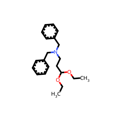 CCOC(CCN(Cc1ccccc1)Cc1ccccc1)OCC